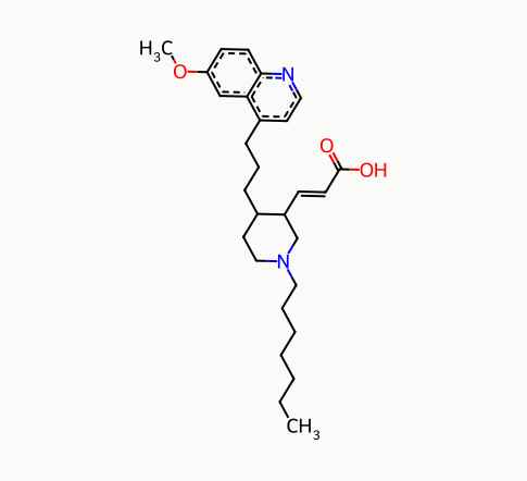 CCCCCCCN1CCC(CCCc2ccnc3ccc(OC)cc23)C(C=CC(=O)O)C1